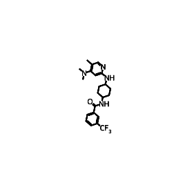 Cc1cnc(NC2CCC(NC(=O)c3cccc(C(F)(F)F)c3)CC2)cc1N(C)C